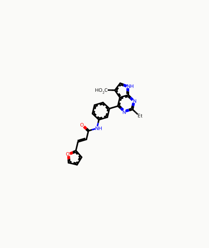 CCc1nc(-c2cccc(NC(=O)/C=C/c3ccco3)c2)c2c(C(=O)O)c[nH]c2n1